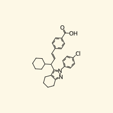 O=C(O)c1ccc(/C=C/C(c2c3c(nn2-c2ccc(Cl)cc2)CCCC3)C2CCCCC2)cc1